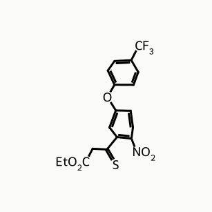 CCOC(=O)CC(=S)c1cc(Oc2ccc(C(F)(F)F)cc2)ccc1[N+](=O)[O-]